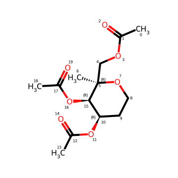 CC(=O)OC[C@@]1(C)OCC[C@@H](OC(C)=O)[C@H]1OC(C)=O